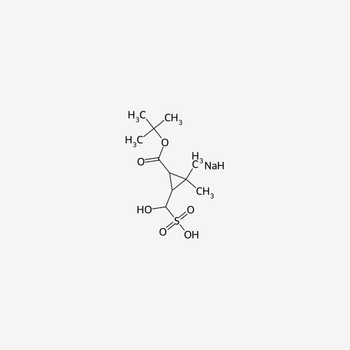 CC(C)(C)OC(=O)C1C(C(O)S(=O)(=O)O)C1(C)C.[NaH]